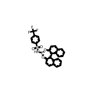 O=S(=O)(Np1oc2ccc3ccccc3c2c2c(ccc3ccccc32)o1)c1ccc(C(F)(F)F)cc1